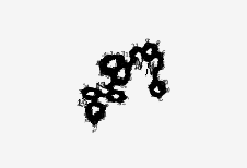 c1ccc(-c2ccc3ccc4ccc(-c5ccc(-c6nc7ccc8oc9ccccc9c8c7c7ccccc67)c6ccccc56)nc4c3n2)cc1